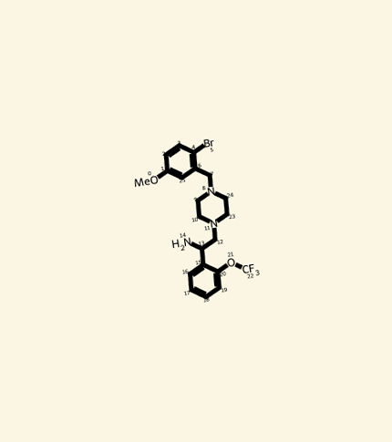 COc1ccc(Br)c(CN2CCN(CC(N)c3ccccc3OC(F)(F)F)CC2)c1